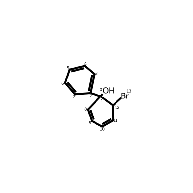 OC1(c2ccccc2)C=CC=CC1Br